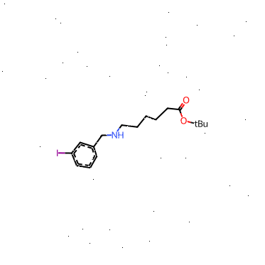 CC(C)(C)OC(=O)CCCCCNCc1cccc(I)c1